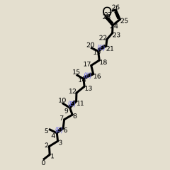 CCCC/C(C)=C/CC/C(C)=C/CC/C(C)=C/CC/C(C)=C/CCc1ccoc1